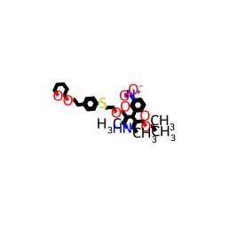 CC1=C(C(=O)OCCSc2ccc(CCOC3CCCCO3)cc2)C(c2cccc([N+](=O)[O-])c2)C(C(=O)OC(C)C)=C(C)N1